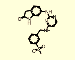 CS(=O)(=O)c1cccc(CNc2ccnc(Nc3ccc4c(c3)NC(=O)C4)n2)c1